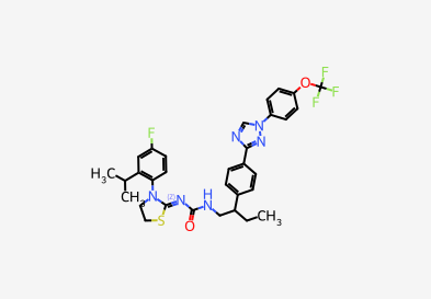 CCC(CNC(=O)/N=C1\SCCN1c1ccc(F)cc1C(C)C)c1ccc(-c2ncn(-c3ccc(OC(F)(F)F)cc3)n2)cc1